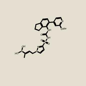 COc1cc(-c2ccc3c(c2NC(=O)NS(=O)(=O)c2ccn(CC=C(C)B(O)O)n2)CCC3)ccn1